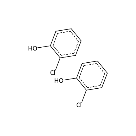 Oc1ccccc1Cl.Oc1ccccc1Cl